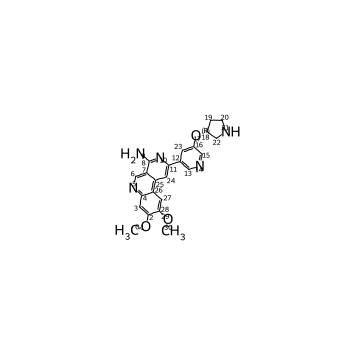 COc1cc2ncc3c(N)nc(-c4cncc(O[C@@H]5CCNC5)c4)cc3c2cc1OC